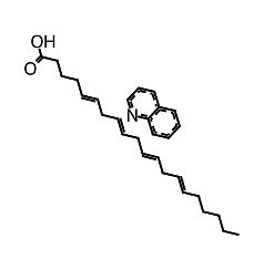 CCCCCC=CCC=CCC=CCC=CCCCC(=O)O.c1ccc2ncccc2c1